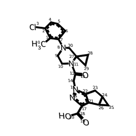 Cc1c(Cl)cccc1N1CCN(C(=O)Cn2nc(C(=O)O)c3c2CC2CC32)C2(CC2)C1